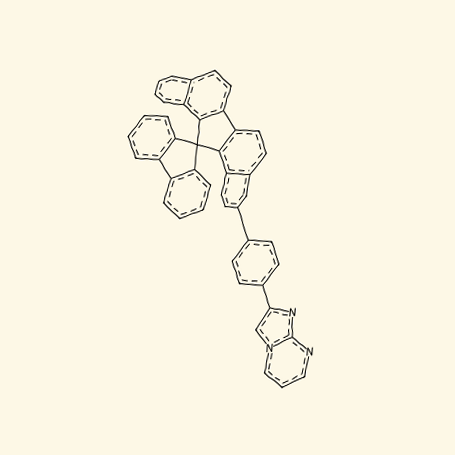 c1ccc2c(c1)-c1ccccc1C21c2c(ccc3ccccc23)-c2ccc3cc(-c4ccc(-c5cn6cccnc6n5)cc4)ccc3c21